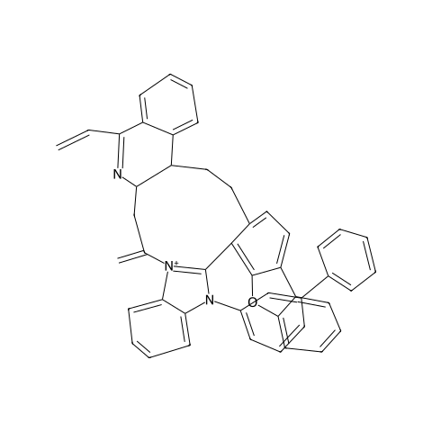 C=CC1=NC2CC(=C)[n+]3c(n(-c4cccc(-c5ccccc5)c4)c4ccccc43)-c3c(ccc4c3oc3ccccc34)CCC2c2ccccc21